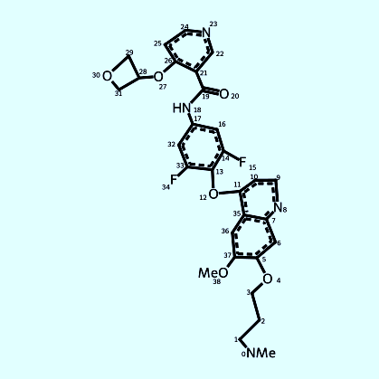 CNCCCOc1cc2nccc(Oc3c(F)cc(NC(=O)c4cnccc4OC4COC4)cc3F)c2cc1OC